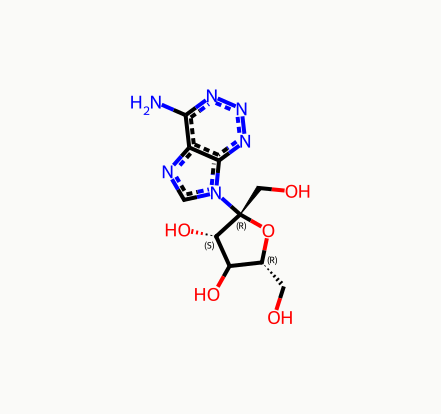 Nc1nnnc2c1ncn2[C@]1(CO)O[C@H](CO)C(O)[C@@H]1O